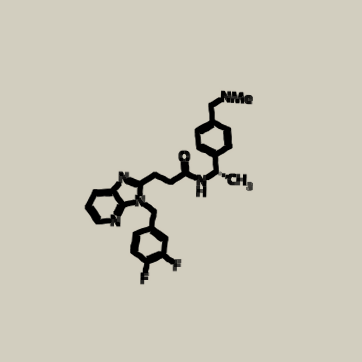 CNCc1ccc([C@H](C)NC(=O)CCc2nc3cccnc3n2Cc2ccc(F)c(F)c2)cc1